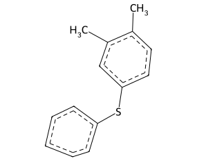 Cc1ccc(Sc2ccccc2)cc1C